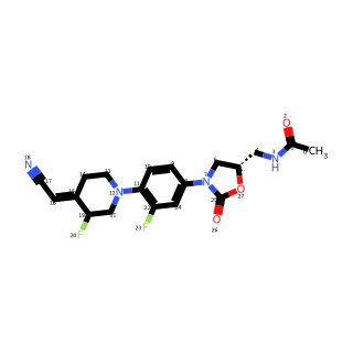 CC(=O)NC[C@H]1CN(c2ccc(N3CCC(=CC#N)C(F)C3)c(F)c2)C(=O)O1